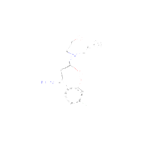 C[C@@H]1CN(C2C[C@@H](N)c3ccc(F)cc3O2)CCO1